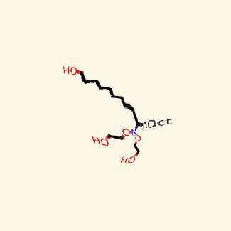 CCCCCCCCC(CCCCCCCCCO)N(OCCO)OCCO